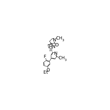 CCOc1ccc(F)c(-c2cc(C)nc([C@@H]3CC[C@]4(CCN(C)C4=O)N3)c2)c1